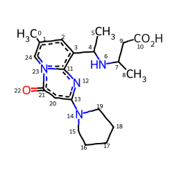 Cc1cc(C(C)NC(C)CC(=O)O)c2nc(N3CCCCC3)cc(=O)n2c1